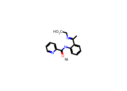 CC(=NCC(=O)O)c1ccccc1[N-]C(=O)c1ccccn1.[Ni]